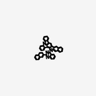 c1ccc2cc(-c3nc(-n4c5cc6ccccc6cc5c5cc6c7ccccc7n7c8ccccc8c(c54)c67)c4ccccc4n3)ccc2c1